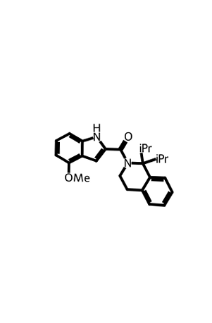 COc1cccc2[nH]c(C(=O)N3CCc4ccccc4C3(C(C)C)C(C)C)cc12